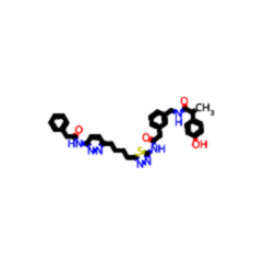 CC(C(=O)NCc1cccc(CC(=O)Nc2nnc(CCCCc3ccc(NC(=O)Cc4ccccc4)nn3)s2)c1)c1ccc(O)cc1